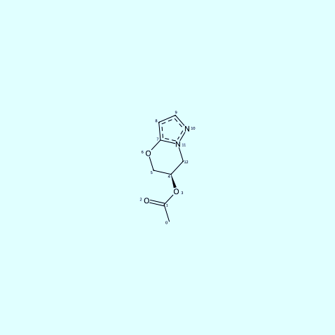 CC(=O)O[C@H]1COc2ccnn2C1